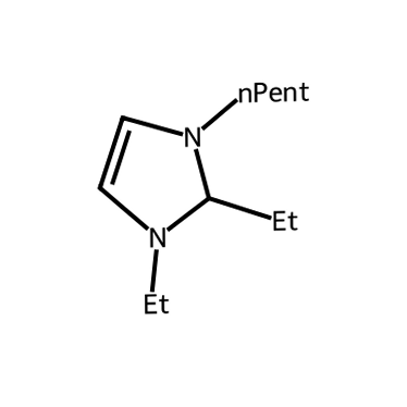 CCCCCN1C=CN(CC)C1CC